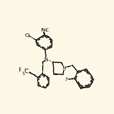 [C-]#[N+]c1ccc(N(Cc2ccccc2C(F)(F)F)[C@H]2CCN(Cc3ccccc3F)C2)cc1Cl